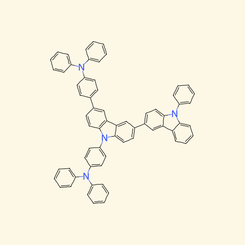 c1ccc(N(c2ccccc2)c2ccc(-c3ccc4c(c3)c3cc(-c5ccc6c(c5)c5ccccc5n6-c5ccccc5)ccc3n4-c3ccc(N(c4ccccc4)c4ccccc4)cc3)cc2)cc1